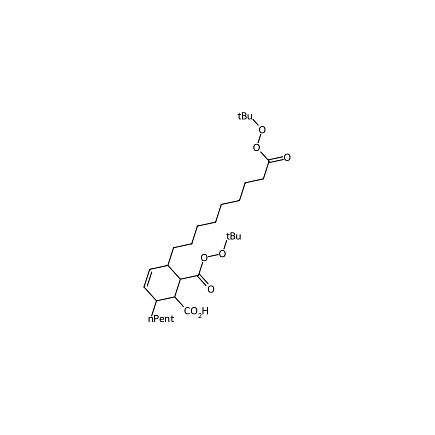 CCCCCC1C=CC(CCCCCCCCC(=O)OOC(C)(C)C)C(C(=O)OOC(C)(C)C)C1C(=O)O